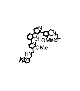 COc1cc(-c2nccc(-c3cccc(-c4ccc(CNC[C@H]5CCC(=O)N5)c(OC)n4)c3Cl)c2Cl)cc2c1CN(CC(C)O)CC2